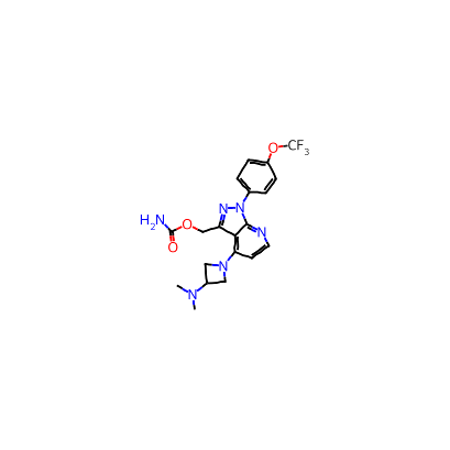 CN(C)C1CN(c2ccnc3c2c(COC(N)=O)nn3-c2ccc(OC(F)(F)F)cc2)C1